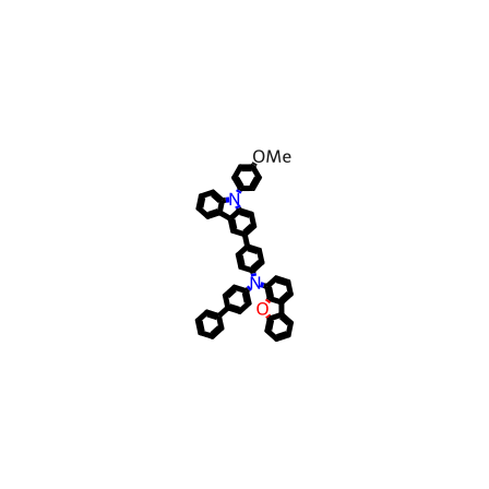 COc1ccc(-n2c3ccccc3c3cc(-c4ccc(N(c5ccc(-c6ccccc6)cc5)c5cccc6c5oc5ccccc56)cc4)ccc32)cc1